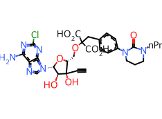 C#C[C@@]1(O)[C@@H](COC(Cc2ccc(N3CCCN(CCC)C3=O)cc2)(C(=O)O)C(=O)O)O[C@@H](n2cnc3c(N)nc(Cl)nc32)[C@@H]1O